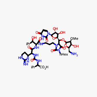 CCCCCCN1C(=O)C(C(OC2O[C@H](CN)[C@H](O)[C@@H]2OC)[C@H]2O[C@@H](n3ccc(=O)[nH]c3=O)[C@H](O)[C@H]2O)N(CCCNC(=O)C(NC(=O)C(NC(=O)NC(C(=O)O)C(C)C)C2CCNC(=N)N2)C(O)C(C)C)C1=O